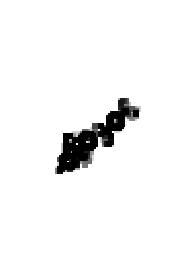 COC(=O)c1ccc(C(=O)Oc2ccc(C(c3ccc(C)cc3)(C(F)(F)F)C(F)(F)F)cc2)cc1